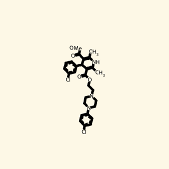 COC(=O)C1=C(C)NC(C)=C(C(=O)OCCN2CCN(c3ccc(Cl)cc3)CC2)C1c1cccc(Cl)c1